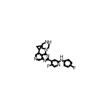 Fc1ccc(Nc2cc(-c3nc(N4CCNCC4)c4c(C5CC5)cncc4n3)c(F)cn2)cc1